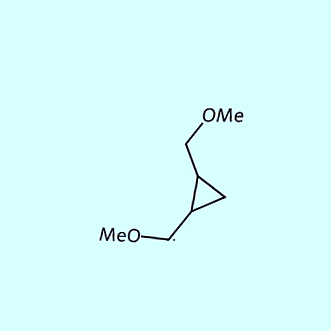 CO[CH]C1CC1COC